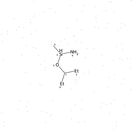 CCC(CC)O[SiH](C)N